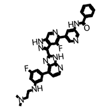 CN(C)CCNc1cc(F)cc(-c2ccnc3[nH]c(-c4n[nH]c5cnc(-c6cncc(NC(=O)c7ccccc7)c6)c(F)c45)nc23)c1